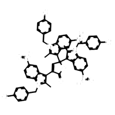 Cc1c(C2=CC(c3c(C)n(Cc4ccc(Cl)cc4)c4ccc([N+](=O)[O-])cc34)(c3c(C)n(Cc4ccc(Cl)cc4)c4ccc([N+](=O)[O-])cc34)OC2=O)c2cc([N+](=O)[O-])ccc2n1Cc1ccc(Cl)cc1